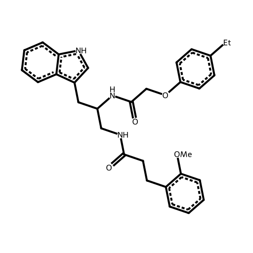 CCc1ccc(OCC(=O)NC(CNC(=O)CCc2ccccc2OC)Cc2c[nH]c3ccccc23)cc1